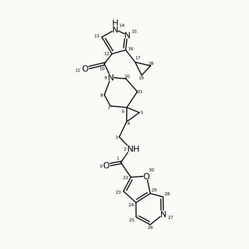 O=C(NCC1CC12CCN(C(=O)c1c[nH]nc1C1CC1)CC2)c1cc2ccncc2o1